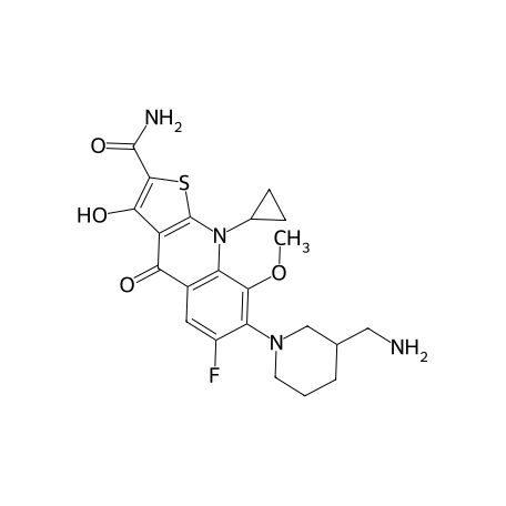 COc1c(N2CCCC(CN)C2)c(F)cc2c(=O)c3c(O)c(C(N)=O)sc3n(C3CC3)c12